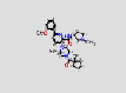 CCOc1ccccc1-c1ccc(N2CCN(C(=O)C3(C(F)(F)F)CCCC3)C[C@H]2CC)c(C(=O)N[C@@H]2CCN(C)C2)n1